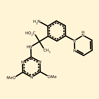 COc1nc(NC(C)(C(=O)O)c2cc(N3N=CC=CN3)ccc2N)nc(OC)n1